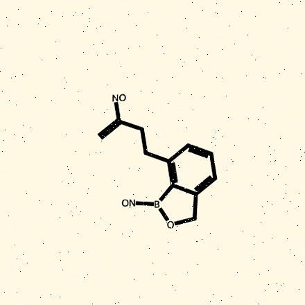 C=C(CCc1cccc2c1B(N=O)OC2)N=O